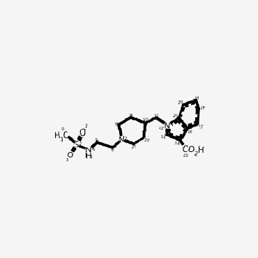 CS(=O)(=O)NCCN1CCC(Cn2cc(C(=O)O)c3ccccc32)CC1